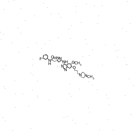 COc1cc2c(Nc3cc(CC(=O)Nc4cccc(F)c4)[nH]n3)ncnc2cc1OCCCN1CCN(C)CC1